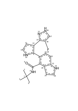 CC(C)(C)NC(=O)c1c(-c2[nH]ccc2-c2n[nH]cc2F)ccc2[nH]ccc12